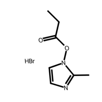 Br.CCC(=O)On1ccnc1C